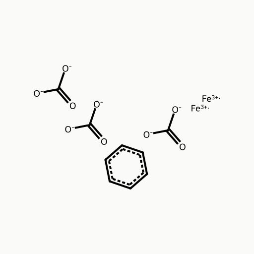 O=C([O-])[O-].O=C([O-])[O-].O=C([O-])[O-].[Fe+3].[Fe+3].c1ccccc1